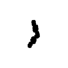 C1=CC2CC=c3c(-c4ccc5ccccc5c4)ccc4ccc(c2c34)=C1c1ccc2sc3ccc(-c4ccc5c6c7c(ccc46)=CCC(c4ccc6ccccc6c4)C7CC=5)cc3c2c1